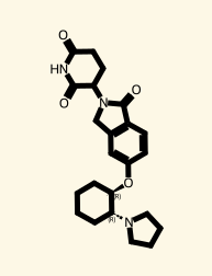 O=C1CCC(N2Cc3cc(O[C@@H]4CCCC[C@H]4N4CCCC4)ccc3C2=O)C(=O)N1